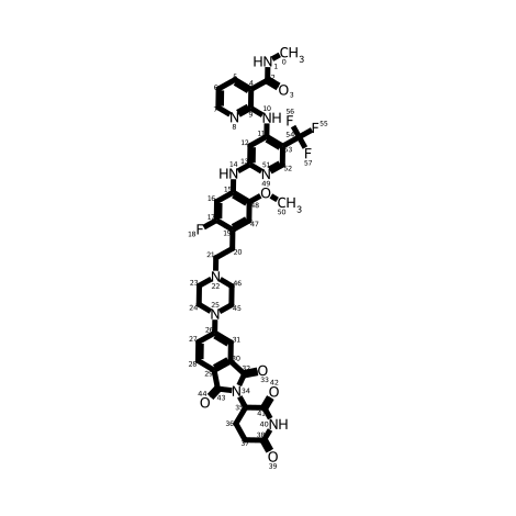 CNC(=O)c1cccnc1Nc1cc(Nc2cc(F)c(CCN3CCN(c4ccc5c(c4)C(=O)N(C4CCC(=O)NC4=O)C5=O)CC3)cc2OC)ncc1C(F)(F)F